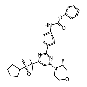 C=S(=O)(C1CCCC1)C(C)(C)c1cc(N2CCOC[C@@H]2C)nc(-c2ccc(NC(=O)Oc3ccccc3)cc2)n1